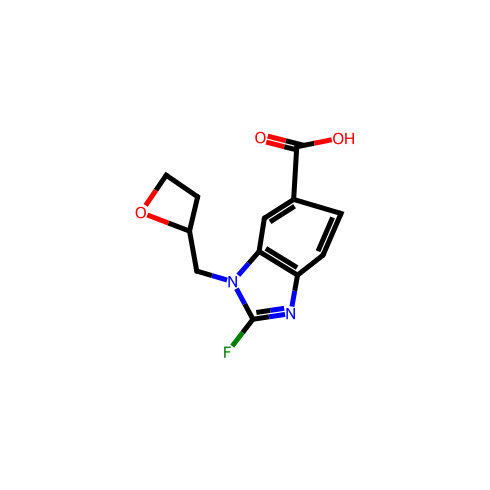 O=C(O)c1ccc2nc(F)n(CC3CCO3)c2c1